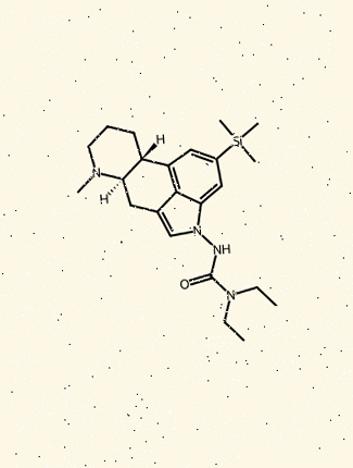 CCN(CC)C(=O)Nn1cc2c3c(cc([Si](C)(C)C)cc31)[C@H]1CCCN(C)[C@@H]1C2